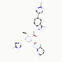 C=C[C@@H]1[C@@H](Cn2cnc(C)c2)C[C@@H](C(=O)Nc2nc(Br)ccc2C)N1C(=O)Cn1nc(C(C)=O)c2cc(-c3cnc(C)nc3)ccc21